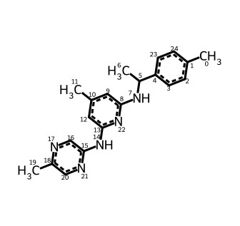 Cc1ccc(C(C)Nc2cc(C)cc(Nc3cnc(C)cn3)n2)cc1